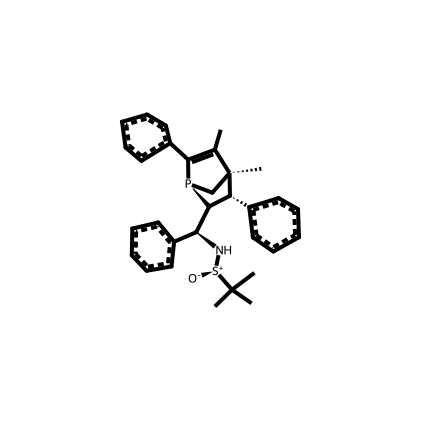 CC1=C(c2ccccc2)[P@@]2C[C@]1(C)[C@H](c1ccccc1)C2[C@@H](N[S@+]([O-])C(C)(C)C)c1ccccc1